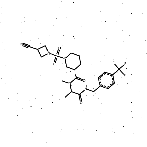 CC(C(=O)NCc1ccc(C(F)(F)F)cc1)N(C)C(=O)[C@H]1CCCN(S(=O)(=O)N2CC(C#N)C2)C1